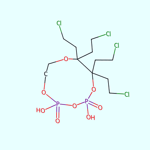 O=P1(O)OCCOC(CCCl)(CCCl)C(CCCl)(CCCl)OP(=O)(O)O1